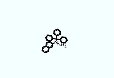 NN(c1ccc2ccccc2c1)C(c1ccccc1)(c1ccccc1)c1ccccc1